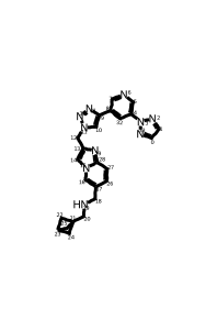 c1cnn(-c2cncc(-c3cn(Cc4cn5cc(CNCC67CC(C6)C7)ccc5n4)nn3)c2)n1